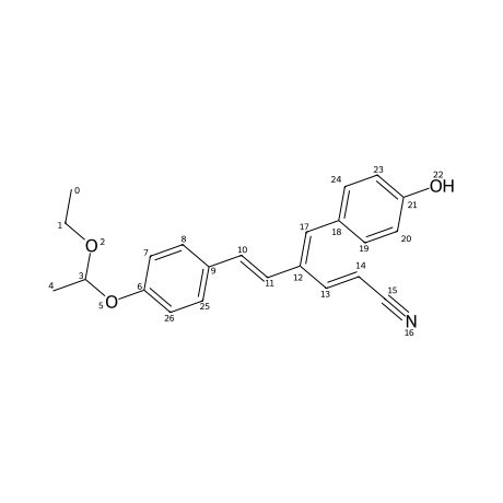 CCOC(C)Oc1ccc(C=CC(C=CC#N)=Cc2ccc(O)cc2)cc1